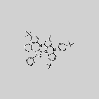 Cc1cc2c3c(c1)N(c1ccc(C(C)(C)C)cc1)c1c(sc(-c4ccccc4)c1-c1ccccc1)[SH]3c1cc(C(C)(C)C)ccc1N2C1=CCC(C(C)(C)C)C=C1